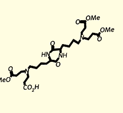 COC(=O)CCN(CCCCC1NC(=O)C(CCCCN(CCC(=O)OC)CCC(=O)OC)NC1=O)CCC(=O)O